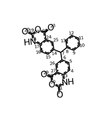 O=c1[nH]c2ccc(C(c3ccccc3)c3ccc4[nH]c(=O)oc(=O)c4c3)cc2c(=O)o1